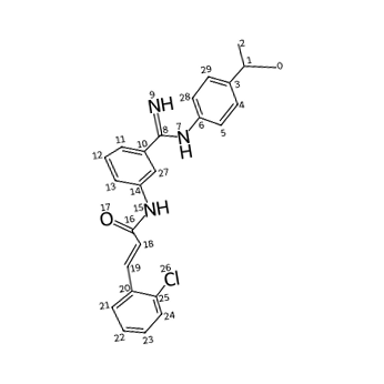 CC(C)c1ccc(NC(=N)c2cccc(NC(=O)/C=C/c3ccccc3Cl)c2)cc1